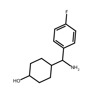 NC(c1ccc(F)cc1)C1CCC(O)CC1